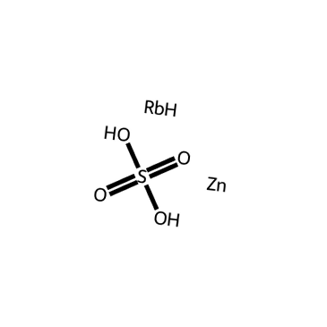 O=S(=O)(O)O.[RbH].[Zn]